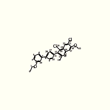 CCOc1cccc(-c2ccc(-c3c(C)nc4cc(OC)c(Cl)cc4c3Cl)cc2)c1